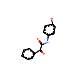 O=C(Nc1ccc(Br)cc1)C(=O)c1ccccc1